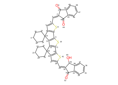 O=C1C(=Cc2cc3c(s2)-c2sc4c(c2C32CCCCC2)C2(CCCCC2)c2cc(/C=C3/C(=O)c5ccccc5C3O)sc2-4)C(=O)c2ccccc21